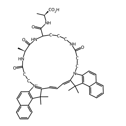 C[C@H](NC(=O)C1CCCNC(=O)CCN2/C(=C/C=C/C3=[N+](CCC(=O)N[C@@H](C)C(=O)N1)c1ccc4ccccc4c1C3(C)C)C(C)(C)c1c2ccc2ccccc12)C(=O)O